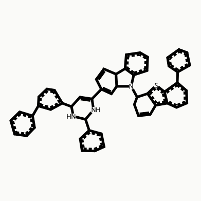 C1=Cc2c(sc3c(-c4ccccc4)cccc23)C(N2c3ccccc3C3C=CC(C4=CC(c5cccc(-c6ccccc6)c5)NC(c5ccccc5)N4)=CC32)C1